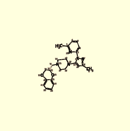 Cc1cccc(-n2nc(C)cc2N2CCN(C[C@H]3COc4ccccc4O3)CC2)n1